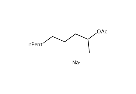 CCCCCCCCC(C)OC(C)=O.[Na]